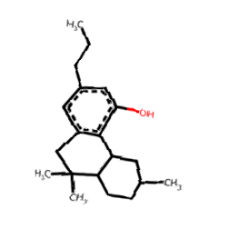 CCCc1cc(O)c2c(c1)CC(C)(C)C1CCC(C)CC21